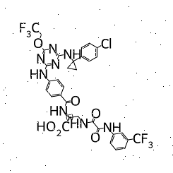 O=C(NC[C@H](NC(=O)c1ccc(Nc2nc(NC3(c4ccc(Cl)cc4)CC3)nc(OCC(F)(F)F)n2)cc1)C(=O)O)C(=O)Nc1cccc(C(F)(F)F)c1